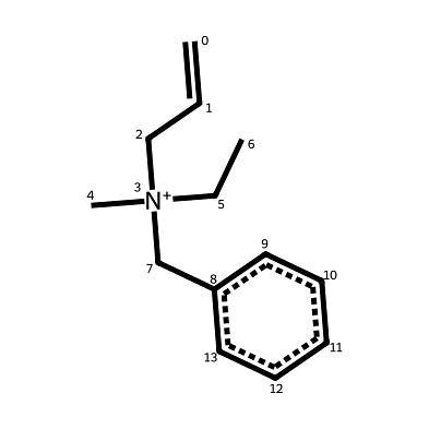 C=CC[N+](C)(CC)Cc1ccccc1